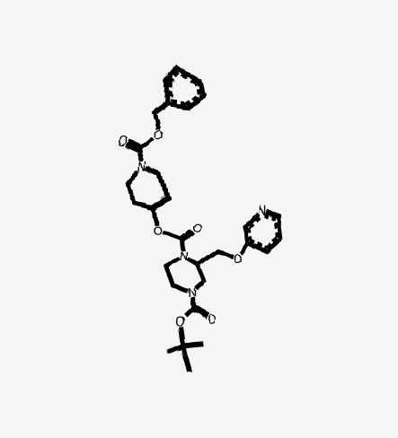 CC(C)(C)OC(=O)N1CCN(C(=O)OC2CCN(C(=O)OCc3ccccc3)CC2)C(COc2cccnc2)C1